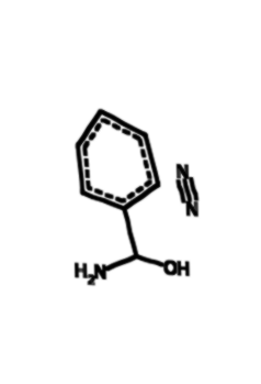 N#N.NC(O)c1ccccc1